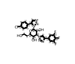 OCC[C@H]1O[C@@H](n2nncc2-c2ccc(Cl)cc2)[C@H](O)[C@@H](n2cc(-c3cc(F)c(F)c(F)c3)nn2)[C@H]1O